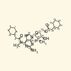 CN(C(=O)CC1CCCCC1)c1nc(N)nc2c1ncn2[C@@H]1O[C@H](COC(=O)CC2CCCCC2)[C@@H](O)[C@@]1(C)F